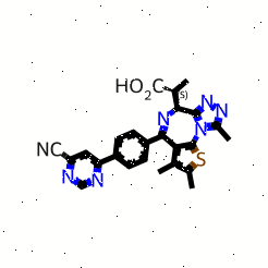 Cc1sc2c(c1C)C(c1ccc(-c3cc(C#N)ncn3)cc1)=NC([C@H](C)C(=O)O)c1nnc(C)n1-2